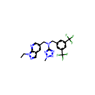 CCn1ncc2cc(CN(Cc3cc(C(F)(F)F)cc(C(F)(F)F)c3)c3nnn(C)n3)[c]nc21